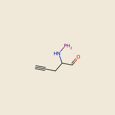 C#CCC(C=O)NP